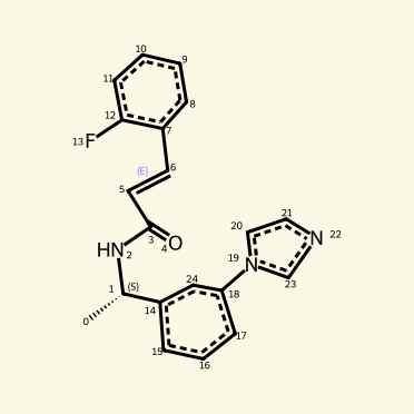 C[C@H](NC(=O)/C=C/c1ccccc1F)c1cccc(-n2ccnc2)c1